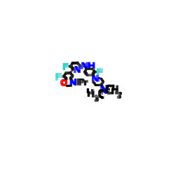 CC(C)N1CCOc2c(F)cc(-c3nc(Nc4ccc(N5CCC(N(C)C)CC5)c(F)c4)ccc3F)cc21